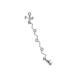 [N-]=[N+]=NCCOCCOCCOCCN=S(=O)(F)F